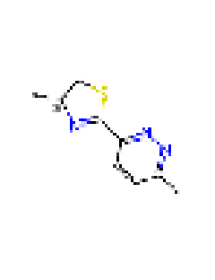 Cc1ccc(C2=N[C@H](C)CS2)nn1